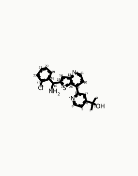 CC(C)(O)c1ccnc(-c2ccnc3cc(C(N)c4ccccc4Cl)sc23)c1